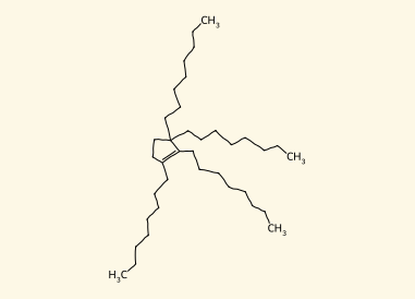 CCCCCCCCC1=C(CCCCCCCC)C(CCCCCCCC)(CCCCCCCC)CC1